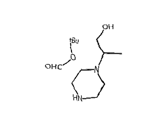 CC(C)(C)OC=O.CC(CO)N1CCNCC1